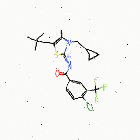 Cc1c(C(C)(C)C)s/c(=N\C(=O)c2ccc(Cl)c(C(F)(F)F)c2)n1CC1CC1